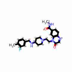 CNC(=O)c1ccc2ncc(=O)n(CCN3CCC(NCc4ccc(C)c(F)c4)CC3)c2c1